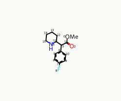 COC(=O)C(c1ccc(F)cc1)C1CCCCN1